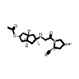 CC(=O)O[C@H]1C[C@@H]2C[C@](C)(NCC(=O)N3C[C@@H](F)C[C@H]3C#N)C[C@H]2C1